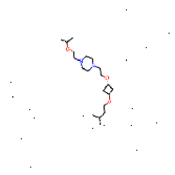 CC(C)CCO[C@H]1C[C@H](OCCN2CCN(CCOC(C)C)CC2)C1